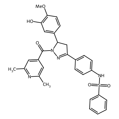 COc1ccc(C2CC(c3ccc(NS(=O)(=O)c4ccccc4)cc3)=NN2C(=O)c2cc(C)nc(C)c2)cc1O